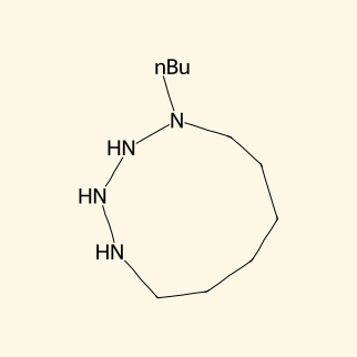 CCCCN1CCCCCCNNN1